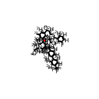 [2H]c1c([2H])c(F)c(F)c(CSc2c([2H])c(=O)c3c([2H])c(C)c([2H])c([2H])c3n2C([2H])([2H])C(=O)N(C([2H])([2H])c2c([2H])c([2H])c(-c3c([2H])c([2H])c(C(F)(F)F)c([2H])c3[2H])c([2H])c2[2H])C2([2H])C([2H])([2H])C([2H])([2H])N(C([2H])([2H])COC)C([2H])([2H])C2([2H])[2H])c1[2H]